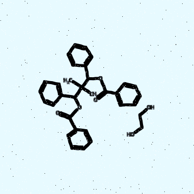 CC(C)(C(OC(=O)c1ccccc1)c1ccccc1)C(OC(=O)c1ccccc1)c1ccccc1.OCCO